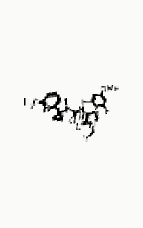 COc1cc(F)c([C@@H]2CN(CC(C)C)C(=O)[C@H]2NC(=O)NC2(c3cccc(C)n3)CC2)c(F)c1